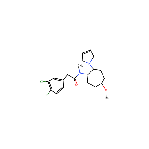 CCOC1CCC(N2CC=CC2)C(N(C)C(=O)Cc2ccc(Cl)c(Cl)c2)CC1